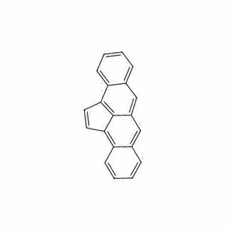 C1=Cc2c3ccccc3cc3cc4ccccc4c1c23